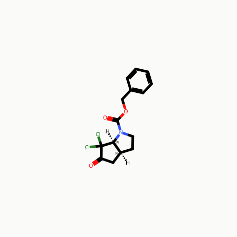 O=C(OCc1ccccc1)N1CC[C@H]2CC(=O)C(Cl)(Cl)[C@H]21